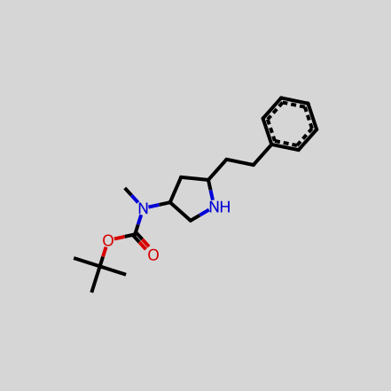 CN(C(=O)OC(C)(C)C)C1CNC(CCc2ccccc2)C1